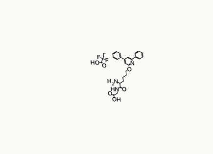 NC(CCCCOc1cc(-c2ccccc2)cc(-c2ccccc2)n1)C(=O)NCC(=O)O.O=C(O)C(F)(F)F